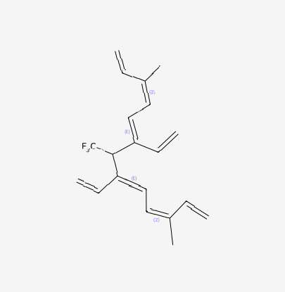 C=C/C(C)=C\C=C(/C=C)C(/C(C=C)=C/C=C(/C)C=C)C(F)(F)F